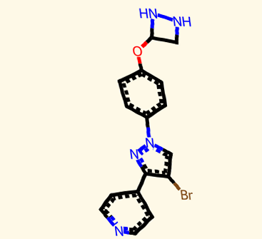 Brc1cn(-c2ccc(OC3CNN3)cc2)nc1-c1ccncc1